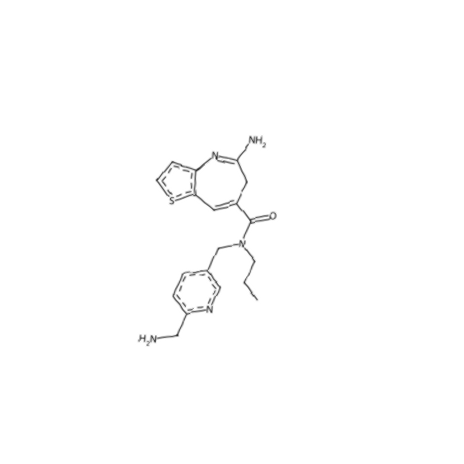 CCCN(Cc1ccc(CN)nc1)C(=O)C1=Cc2sccc2N=C(N)C1